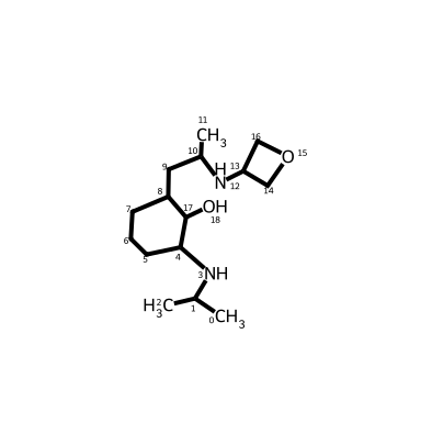 CC(C)NC1CCCC(CC(C)NC2COC2)C1O